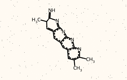 Cc1cc2cc3cc4c(nc3nc2nc1C)=NC(=N)C(C)C=4